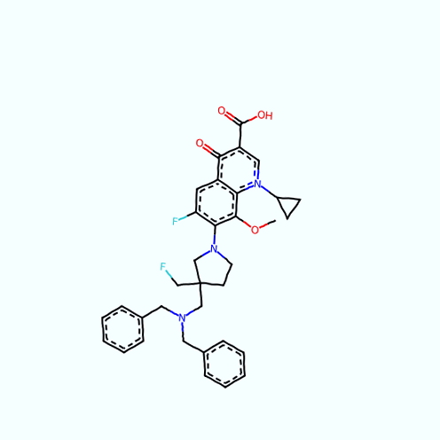 COc1c(N2CCC(CF)(CN(Cc3ccccc3)Cc3ccccc3)C2)c(F)cc2c(=O)c(C(=O)O)cn(C3CC3)c12